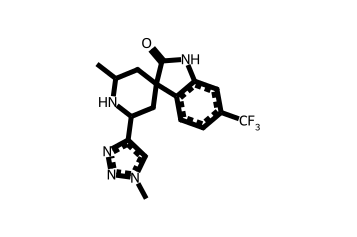 CC1CC2(CC(c3cn(C)nn3)N1)C(=O)Nc1cc(C(F)(F)F)ccc12